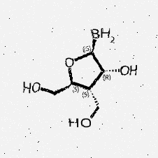 B[C@@H]1O[C@H](CO)[C@@H](CO)[C@H]1O